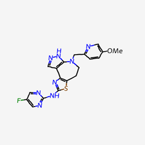 COc1ccc(CN2CCc3sc(Nc4ncc(F)cn4)nc3-c3cn[nH]c32)nc1